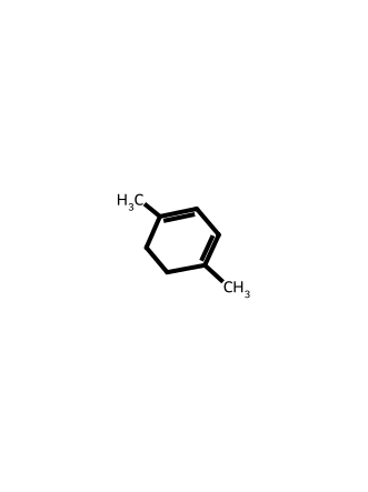 CC1=CC=C(C)CC1